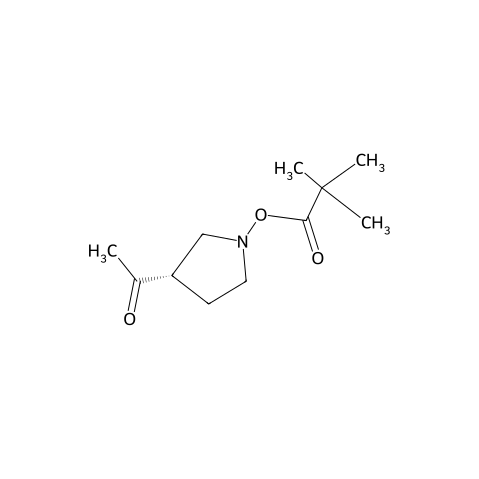 CC(=O)[C@H]1CCN(OC(=O)C(C)(C)C)C1